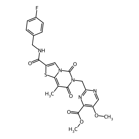 COC(=O)c1nc(Cn2c(=O)c(C)c3sc(C(=O)NCc4ccc(F)cc4)cn3c2=O)ncc1OC